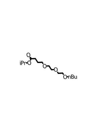 CCCCOCCOCCOCCCC(=O)OC(C)C